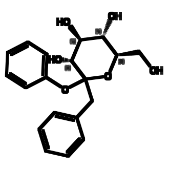 OC[C@H]1OC(Cc2ccccc2)(Oc2ccccc2)[C@H](O)[C@@H](O)[C@@H]1O